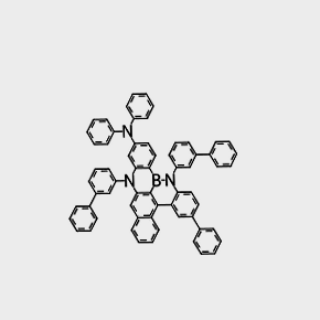 c1ccc(-c2cccc(N3B4c5ccc(N(c6ccccc6)c6ccccc6)cc5N(c5cccc(-c6ccccc6)c5)c5cc6ccccc6c(c54)-c4cc(-c5ccccc5)ccc43)c2)cc1